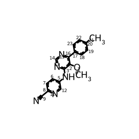 COc1c(Nc2ccc(C#N)nc2)ncnc1-c1ccc(C)cc1